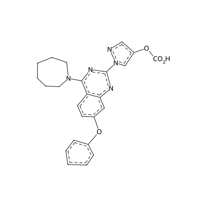 O=C(O)Oc1cnn(-c2nc(N3CCCCCC3)c3ccc(Oc4ccccc4)cc3n2)c1